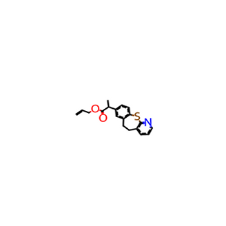 C=CCOC(=O)C(C)c1ccc2c(c1)CCc1cccnc1S2